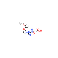 CCOc1ccccc1O[C@@H]1CCCN(c2cncc(NC(=O)CCC(=O)O)n2)C1